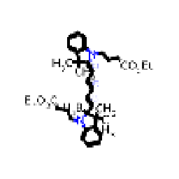 BC1(/C=C/C=C/C=C2/N(CCCC(=O)OCC)c3ccccc3C2(C)C)N(CCCC(=O)OCC)c2ccccc2C1(C)C